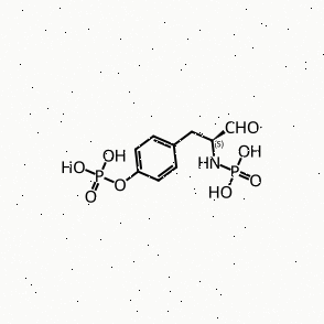 O=[C][C@H](Cc1ccc(OP(=O)(O)O)cc1)NP(=O)(O)O